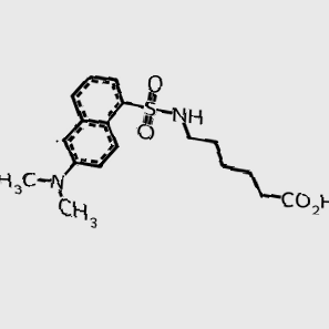 CN(C)c1[c]c2cccc(S(=O)(=O)NCCCCCC(=O)O)c2cc1